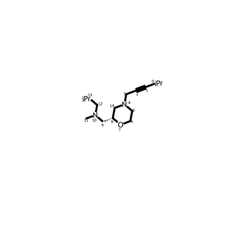 CC(C)C#CCN1CCO[C@H](CN(C)CC(C)C)C1